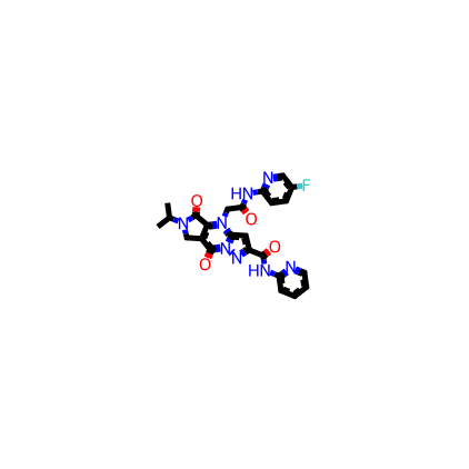 CC(C)N1Cc2c(n(CC(=O)Nc3ccc(F)cn3)c3cc(C(=O)Nc4ccccn4)nn3c2=O)C1=O